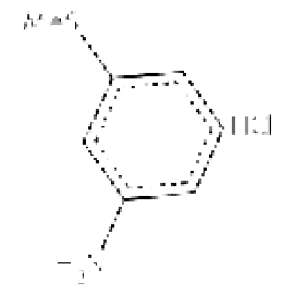 CSc1cccc(N)c1.Cl